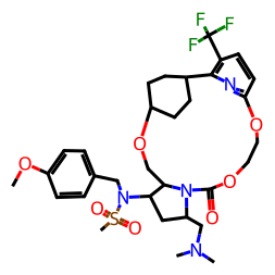 COc1ccc(CN(C2CC(CN(C)C)N3C(=O)OCCOc4ccc(C(F)(F)F)c(n4)C4CCC(CC4)OCC23)S(C)(=O)=O)cc1